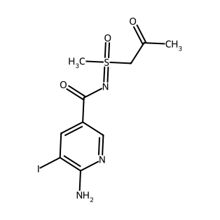 CC(=O)CS(C)(=O)=NC(=O)c1cnc(N)c(I)c1